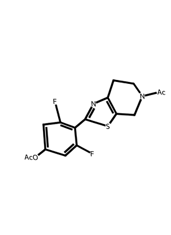 CC(=O)Oc1cc(F)c(-c2nc3c(s2)CN(C(C)=O)CC3)c(F)c1